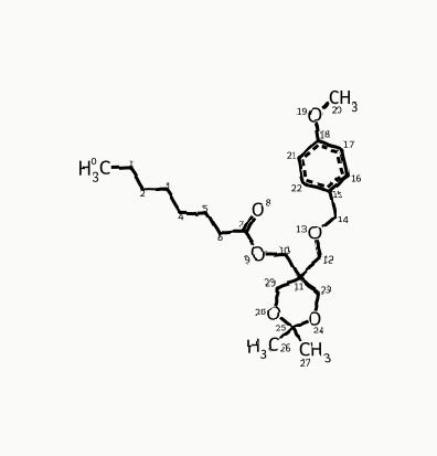 CCCCCCCC(=O)OCC1(COCc2ccc(OC)cc2)COC(C)(C)OC1